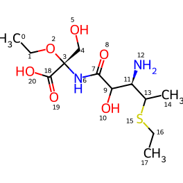 CCO[C@](CO)(NC(=O)C(O)[C@@H](N)C(C)SCC)C(=O)O